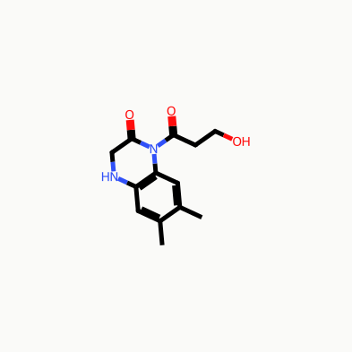 Cc1cc2c(cc1C)N(C(=O)CCO)C(=O)CN2